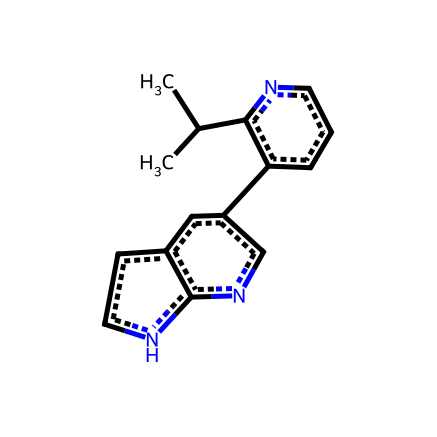 CC(C)c1ncccc1-c1cnc2[nH]ccc2c1